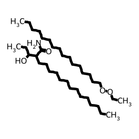 CCCCCCCCCCCCCCC(C(N)=O)C(O)CC.CCCCCCCCCCCCCCCCOOCC